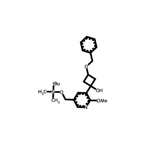 COc1ncc(CO[Si](C)(C)C(C)(C)C)cc1C1(O)CC(OCc2ccccc2)C1